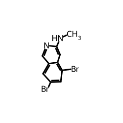 CNc1cc2c(Br)cc(Br)cc2cn1